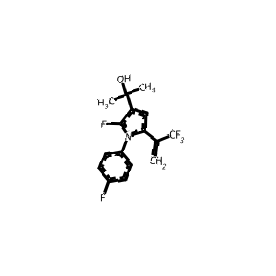 C=C(c1cc(C(C)(C)O)c(F)n1-c1ccc(F)cc1)C(F)(F)F